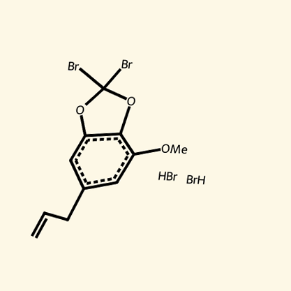 Br.Br.C=CCc1cc(OC)c2c(c1)OC(Br)(Br)O2